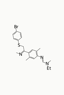 CCN(C)C=Nc1cc(C)c(C(CSc2ccc(Br)cc2)=NC)cc1C